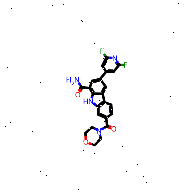 NC(=O)c1cc(-c2cc(F)nc(F)c2)cc2c1[nH]c1cc(C(=O)N3CCOCC3)ccc12